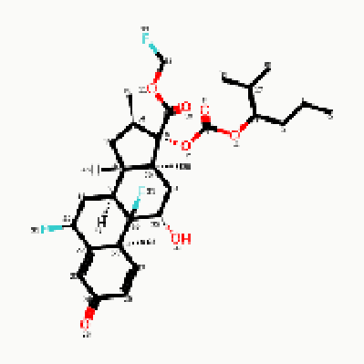 CCCC(OC(=O)O[C@@]1(C(=O)OCF)[C@H](C)C[C@H]2[C@@H]3C[C@H](F)C4=CC(=O)C=C[C@]4(C)C3(F)[C@@H](O)C[C@@]21C)C(C)C